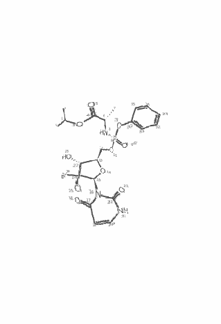 CC(C)OC(=O)[C@H](C)N[P@](=O)(OC[C@H]1O[C@@H](n2c(=O)cc[nH]c2=O)[C@](Cl)(Br)[C@@H]1O)Oc1ccccc1